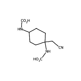 N#CCC1(NC(=O)O)CCC(NC(=O)O)CC1